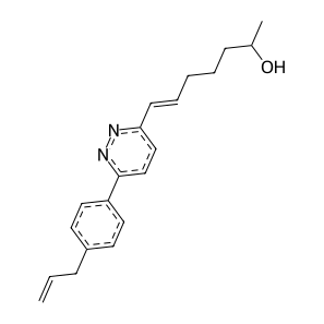 C=CCc1ccc(-c2ccc(C=CCCCC(C)O)nn2)cc1